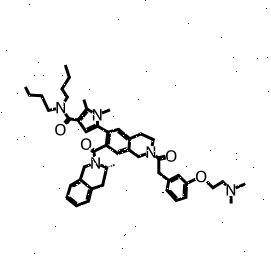 CCCCN(CCCC)C(=O)c1cc(-c2cc3c(cc2C(=O)N2Cc4ccccc4C[C@H]2C)CN(C(=O)Cc2cccc(OCCN(C)C)c2)CC3)n(C)c1C